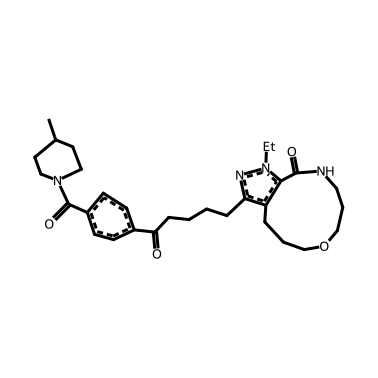 CCn1nc(CCCCC(=O)c2ccc(C(=O)N3CCC(C)CC3)cc2)c2c1C(=O)NCCCOCCC2